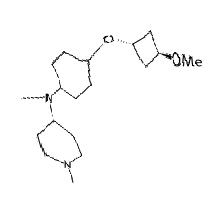 CO[C@H]1C[C@H](OC2CCC(N(C)C3CCN(C)CC3)CC2)C1